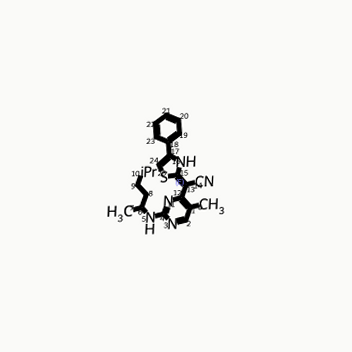 Cc1cnc(NC(C)CCC(C)C)nc1/C(C#N)=C1/NC(c2ccccc2)=CS1